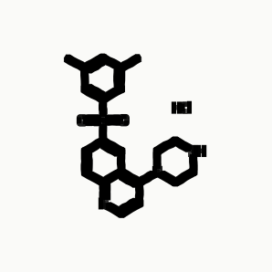 Cc1cc(C)cc(S(=O)(=O)c2ccc3nccc(N4CCNCC4)c3c2)c1.Cl